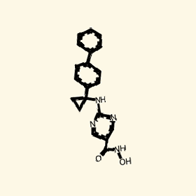 O=C(NO)c1cnc(NC2(c3ccc(-c4ccccc4)cc3)CC2)nc1